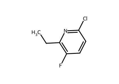 CCc1nc(Cl)ccc1F